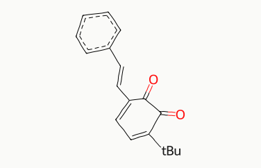 CC(C)(C)C1=CC=C(C=Cc2ccccc2)C(=O)C1=O